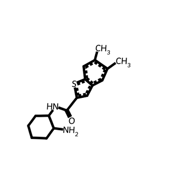 Cc1cc2cc(C(=O)NC3CCCCC3N)sc2cc1C